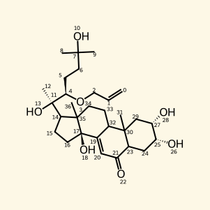 C=CCO[C@H](CCC(C)(C)O)[C@](C)(O)C1CC[C@@]2(O)C3=CC(=O)C4C[C@@H](O)[C@@H](O)CC4(C)C3CCC12C